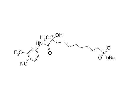 CCCCS(=O)(=O)CCCCCCCC[C@](C)(O)C(=O)Nc1ccc(C#N)c(C(F)(F)F)c1